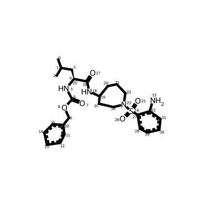 CC(C)C[C@H](NC(=O)OCc1ccccc1)C(=O)NC1CCCN(S(=O)(=O)c2ccccc2N)CC1